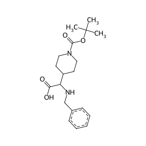 CC(C)(C)OC(=O)N1CCC(C(NCc2ccccc2)C(=O)O)CC1